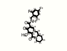 O=C(NCc1c(F)cc(F)cc1F)c1cn2c(c(O)c1=O)C(=O)N1CCCCC1C2